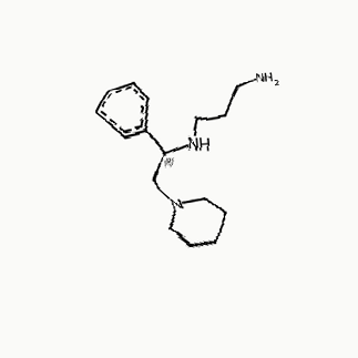 NCCCN[C@@H](CN1CCCCC1)c1ccccc1